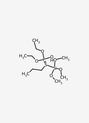 CCCS([Si](OC)(OC)OC)=P(O)(OCC)OCC